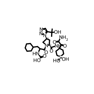 CC(C)(O)c1cnnn1[C@H]1C[C@@H](C(=O)NC2(C(=O)C(N)=O)CCS(O)(O)CC2)N(C(=O)C(CC2CCCCC2)NC(=O)O)C1